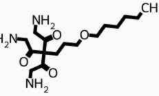 CCCCCCOCCCC(C(=O)CN)(C(=O)CN)C(=O)CN